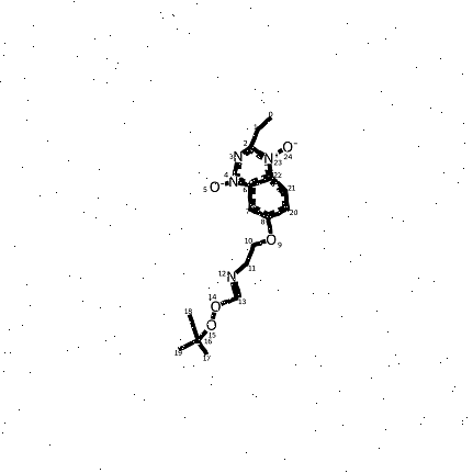 CCc1n[n+]([O-])c2cc(OCCN=COOC(C)(C)C)ccc2[n+]1[O-]